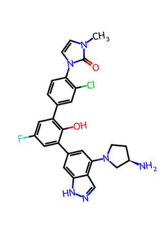 Cn1ccn(-c2ccc(-c3cc(F)cc(-c4cc(N5CC[C@@H](N)C5)c5cn[nH]c5c4)c3O)cc2Cl)c1=O